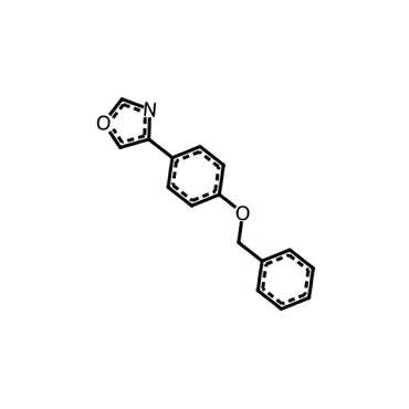 c1ccc(COc2ccc(-c3cocn3)cc2)cc1